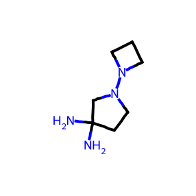 NC1(N)CCN(N2CCC2)C1